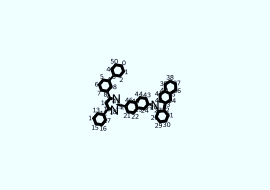 c1ccc(-c2cccc(-c3cc(-c4ccccc4)nc(-c4ccc5cc(-n6c7ccccc7c7cc8ccccc8cc76)ccc5c4)n3)c2)cc1